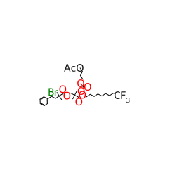 CC(=O)OCCCOC(=O)OCC(C)(COC(=O)C(C)(C)CC(Br)c1ccccc1)C(=O)OCCCCCCCCC(F)(F)F